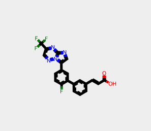 O=C(O)C=Cc1cccc(-c2cc(-c3cnc4nc(C(F)(F)F)cnn34)ccc2F)c1